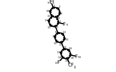 CCc1ccc2c(F)c(-c3ccc(-c4cc(F)c(C(F)(F)F)c(F)c4)cc3)ccc2c1